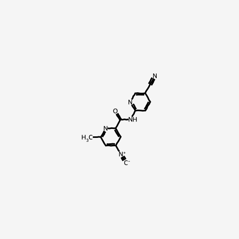 [C-]#[N+]c1cc(C)nc(C(=O)Nc2ccc(C#N)cn2)c1